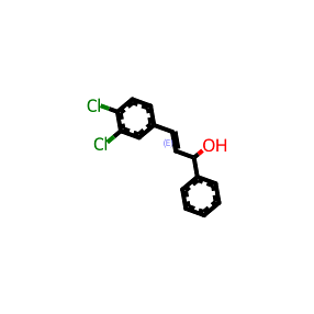 OC(/C=C/c1ccc(Cl)c(Cl)c1)c1ccccc1